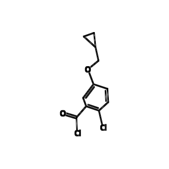 O=C(Cl)c1cc(OCC2CC2)ccc1Cl